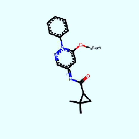 CCCCCOc1c/c(=N\C(=O)C2CC2(C)C)cnn1-c1ccccc1